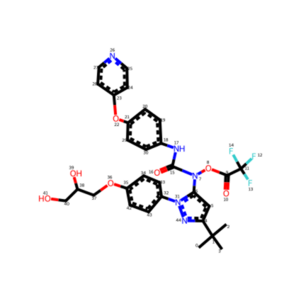 CC(C)(C)c1cc(N(OC(=O)C(F)(F)F)C(=O)Nc2ccc(Oc3ccncc3)cc2)n(-c2ccc(OCC(O)CO)cc2)n1